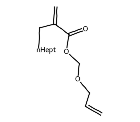 C=CCOCOC(=O)C(=C)CCCCCCCC